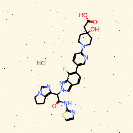 Cl.O=C(O)CC1(O)CCN(c2ccc(-c3ccc4cn(C(C(=O)Nc5nccs5)c5ncn6c5CCC6)nc4c3F)cn2)CC1